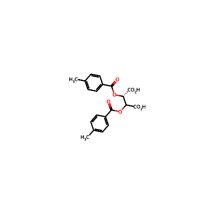 Cc1ccc(C(=O)OC(C(=O)O)[C@H](OC(=O)c2ccc(C)cc2)C(=O)O)cc1